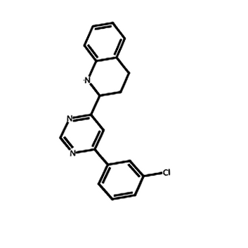 Clc1cccc(-c2cc(C3CCc4ccccc4[N]3)ncn2)c1